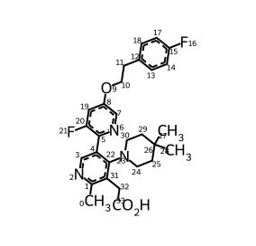 Cc1ncc(-c2ncc(OCCc3ccc(F)cc3)cc2F)c(N2CCC(C)(C)CC2)c1CC(=O)O